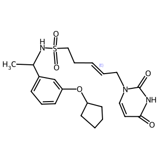 CC(NS(=O)(=O)CC/C=C/Cn1ccc(=O)[nH]c1=O)c1cccc(OC2CCCC2)c1